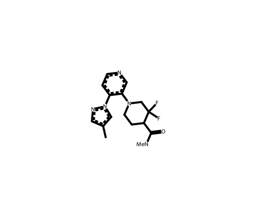 CNC(=O)C1CCN(c2cnccc2-n2cc(C)cn2)CC1(F)F